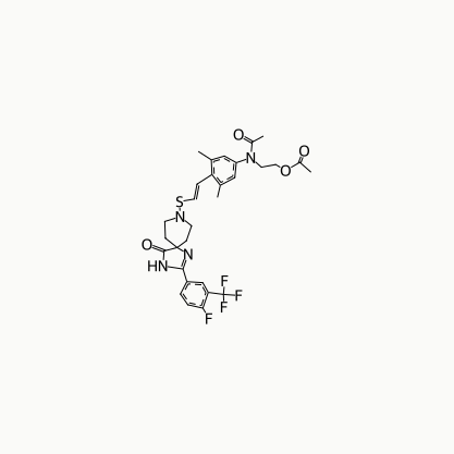 CC(=O)OCCN(C(C)=O)c1cc(C)c(/C=C/SN2CCC3(CC2)N=C(c2ccc(F)c(C(F)(F)F)c2)NC3=O)c(C)c1